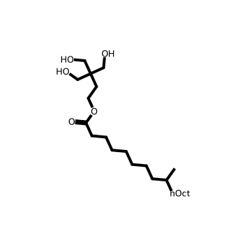 CCCCCCCCC(C)CCCCCCCC(=O)OCCC(CO)(CO)CO